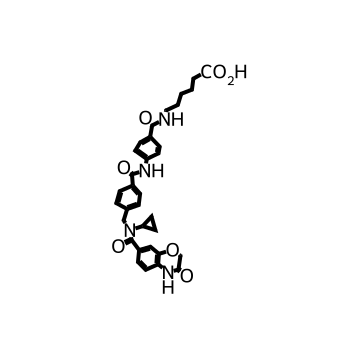 O=C(O)CCCCCNC(=O)c1ccc(NC(=O)c2ccc(CN(C(=O)c3ccc4c(c3)OCC(=O)N4)C3CC3)cc2)cc1